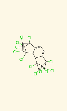 ClC1=C(Cl)C2(Cl)C3C(=CC=C4C3C3(Cl)C(Cl)=C(Cl)C4(Cl)C3(Cl)Cl)C1(Cl)C2(Cl)Cl